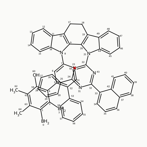 Bc1c(B)c(-c2cc(-n3c4c(c5ccccc53)CCc3c-4n(-c4nc(-c5ccccc5)nc(-c5cccc6ccccc56)n4)c4ccccc34)ccc2-c2ccccc2)c(O)c(C)c1C